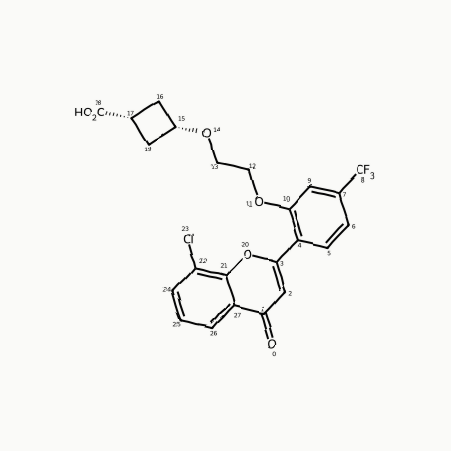 O=c1cc(-c2ccc(C(F)(F)F)cc2OCCO[C@H]2C[C@@H](C(=O)O)C2)oc2c(Cl)cccc12